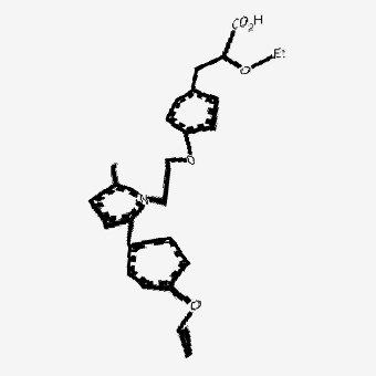 C=COc1ccc(-c2ccc(C)n2CCOc2ccc(CC(OCC)C(=O)O)cc2)cc1